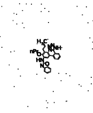 C/C=C/Cc1cc(-c2ccccc2-c2nnn[nH]2)cc(Nc2nc3ccccc3o2)c1OCCC